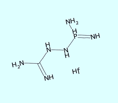 N=C(N)NN[PH](=N)N.[Hf]